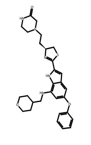 O=C1CN(CC[C@H]2CSC(c3cc4cc(Oc5ccccc5)cc(NCC5CCOCC5)c4[nH]3)=N2)CCN1